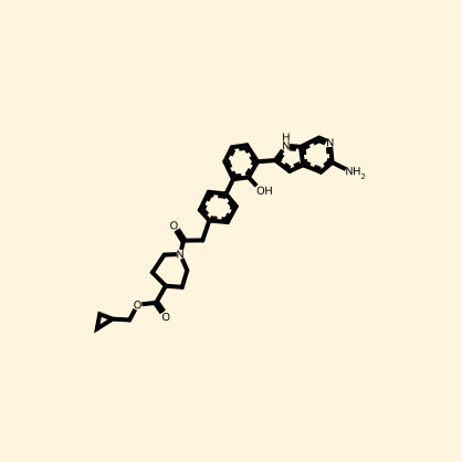 Nc1cc2cc(-c3cccc(-c4ccc(CC(=O)N5CCC(C(=O)OCC6CC6)CC5)cc4)c3O)[nH]c2cn1